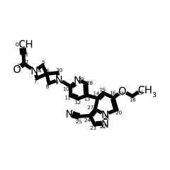 C#CC(=O)N1CC2(C1)CN(c1ccc(-c3cc(OCC)cn4ncc(C#N)c34)cn1)C2